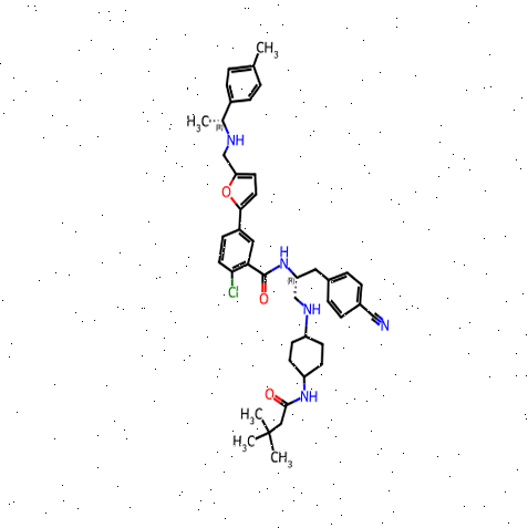 Cc1ccc([C@@H](C)NCc2ccc(-c3ccc(Cl)c(C(=O)N[C@@H](CNC4CCC(NC(=O)CC(C)(C)C)CC4)Cc4ccc(C#N)cc4)c3)o2)cc1